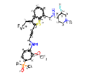 CCP(=O)(CC)c1ccc(NCC#Cc2sc3c(CN[C@H]4CCN(C)C[C@@H]4F)cccc3c2CC(F)(F)F)c(OC(F)(F)F)c1